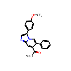 COC(=O)c1cc2ncc(-c3ccc(OC(F)(F)F)cc3)n2cc1-c1ccccc1